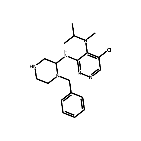 CC(C)N(C)c1c(Cl)cnnc1NC1CNCCN1Cc1ccccc1